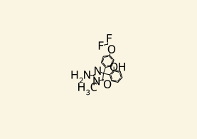 CN1C(=O)C(c2ccc(OC(F)F)cc2)(c2ccccc2O)N=C1N